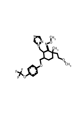 COCCC1(C)CCC(COc2ccc(OC(F)(F)F)cc2)C(Cn2cncn2)C1=NOC